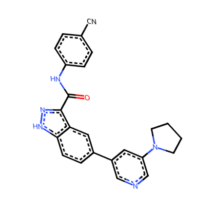 N#Cc1ccc(NC(=O)c2n[nH]c3ccc(-c4cncc(N5CCCC5)c4)cc23)cc1